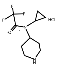 Cl.O=C(N(C1CCNCC1)C1CC1)C(F)(F)F